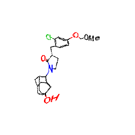 COCOc1ccc(CC2CCN(C3C4CC5CC3CC(O)(C5)C4)C2=O)c(Cl)c1